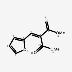 COC(=O)C(=Cc1ccco1)C(=O)OC